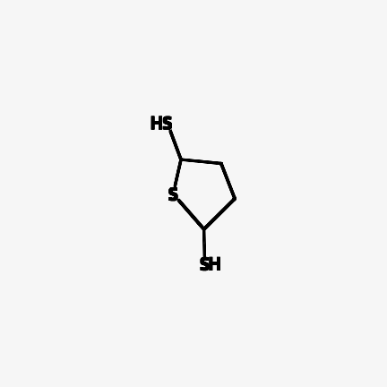 SC1CCC(S)S1